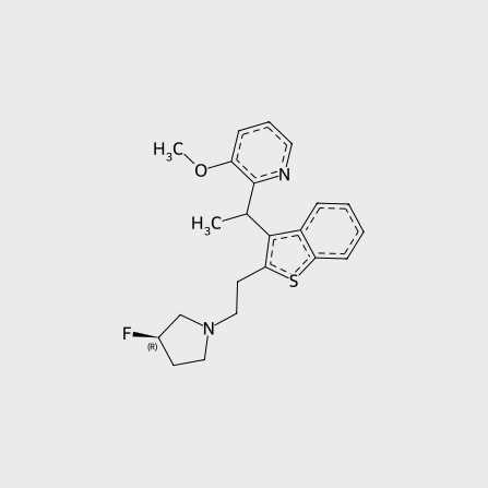 COc1cccnc1C(C)c1c(CCN2CC[C@@H](F)C2)sc2ccccc12